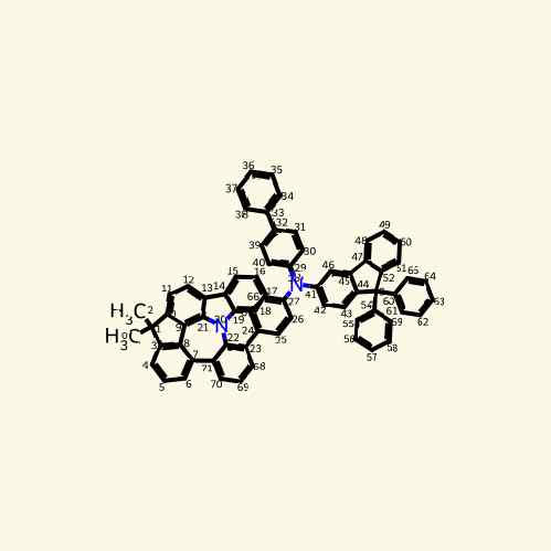 CC1(C)c2cccc3c2-c2c1ccc1c4ccccc4n(c21)-c1c(-c2ccc(N(c4ccc(-c5ccccc5)cc4)c4ccc5c(c4)-c4ccccc4C5(c4ccccc4)c4ccccc4)cc2)cccc1-3